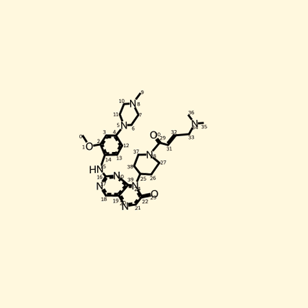 COc1cc(N2CCN(C)CC2)ccc1Nc1ncc2ncc(=O)n(C3CCN(C(=O)/C=C/CN(C)C)CC3)c2n1